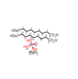 CCCCCCCCCCCCCCCCCC(=O)O.CCCCCCCCCCCCCCCCCC(=O)O.O=P(O)(O)O.[MgH2]